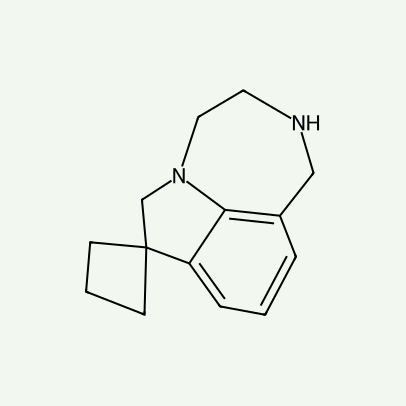 c1cc2c3c(c1)C1(CCC1)CN3CCNC2